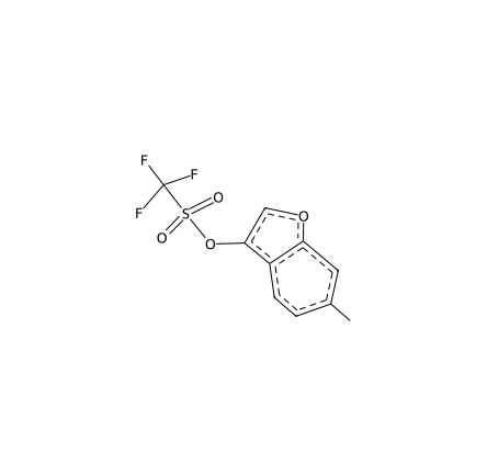 Cc1ccc2c(OS(=O)(=O)C(F)(F)F)coc2c1